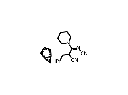 CC(C)CC(C#N)C(=NC#N)N1CCCCC1.c1cc2cc-2c1